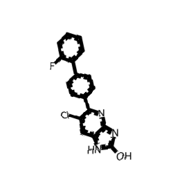 Oc1nc2nc(-c3ccc(-c4ccccc4F)cc3)c(Cl)cc2[nH]1